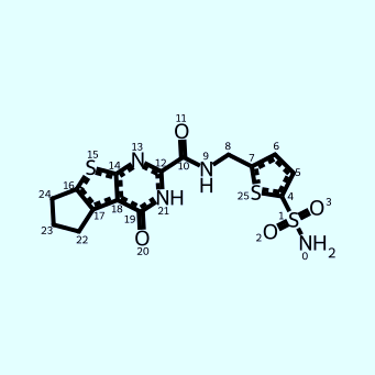 NS(=O)(=O)c1ccc(CNC(=O)c2nc3sc4c(c3c(=O)[nH]2)CCC4)s1